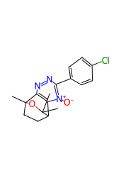 CC12CCC(c3c1nnc(-c1ccc(Cl)cc1)[n+]3[O-])C(C)(C)O2